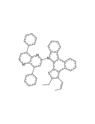 C/C=C\c1c(CC)sc2c1c1ccccc1c1c3ccccc3n(-c3cc(-c4ccccc4)c4nccc(-c5ccccc5)c4n3)c21